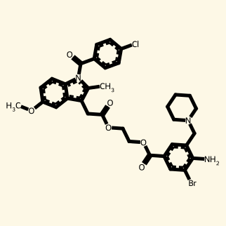 COc1ccc2c(c1)c(CC(=O)OCCOC(=O)c1cc(Br)c(N)c(CN3CCCCC3)c1)c(C)n2C(=O)c1ccc(Cl)cc1